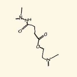 CN(C)CCOC(=O)CCC(=O)NN(C)C